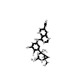 C[C@]1(c2cc(Nc3ncnc4cc(C#N)cnc34)cc(F)c2F)N=C(N)S[C@@]2(CF)C[C@H]21